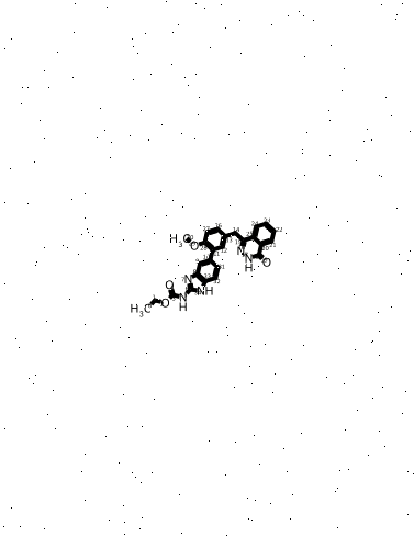 CCOC(=O)Nc1nc2cc(-c3cc(Cc4n[nH]c(=O)c5ccccc45)ccc3OC)ccc2[nH]1